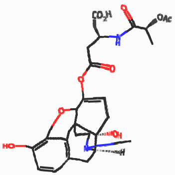 CC(=O)O[C@@H](C)C(=O)N[C@@H](CC(=O)OC1=CC[C@@]2(O)[C@H]3Cc4ccc(O)c5c4C2(CCN3C)C1O5)C(=O)O